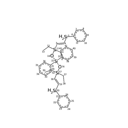 CC[Si](C=C[SiH2]c1ccccc1)(CC)O[Si](O[Si](C=C[SiH2]c1ccccc1)(CC)CC)(c1ccccc1)c1ccccc1